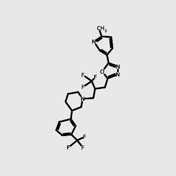 Cc1ccc(-c2nnc(CC(CN3CCCC(c4cccc(C(F)(F)F)c4)C3)C(F)(F)F)o2)cn1